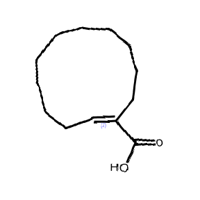 O=C(O)/C1=C\CCCCCCCCCC1